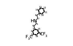 FC(F)(F)c1cc(CCNCCc2ccccc2)cc(C(F)(F)F)c1